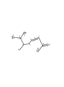 CCN(C(C)C)C(C)C/C=C\C(=O)Cl